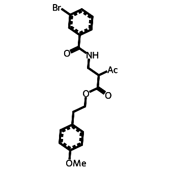 COc1ccc(CCOC(=O)C(CNC(=O)c2cccc(Br)c2)C(C)=O)cc1